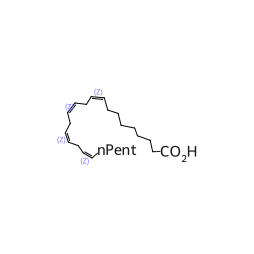 CCCCC/C=C\C/C=C\C/C=C\C/C=C\CCCCCCCC(=O)O